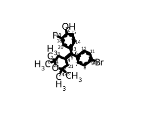 CC1(C)CC(=C(c2ccc(Br)cc2)c2ccc(O)c(F)c2)CC(C)(C)O1